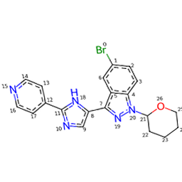 Brc1ccc2c(c1)c(-c1cnc(-c3ccncc3)[nH]1)nn2C1CCCCO1